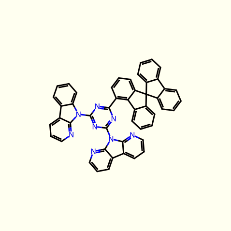 c1ccc2c(c1)-c1ccccc1C21c2ccccc2-c2c(-c3nc(-n4c5ccccc5c5cccnc54)nc(-n4c5ncccc5c5cccnc54)n3)cccc21